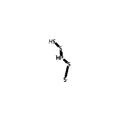 [S]SPSS